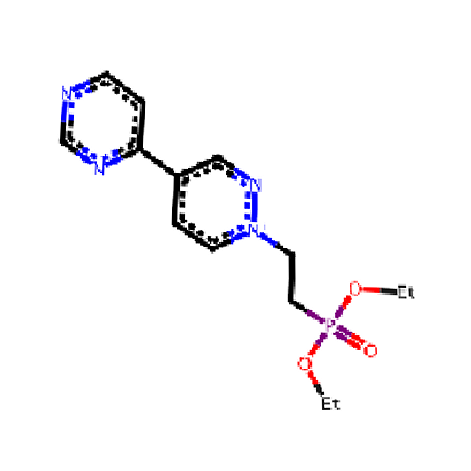 CCOP(=O)(CC[n+]1ccc(-c2ccncn2)cn1)OCC